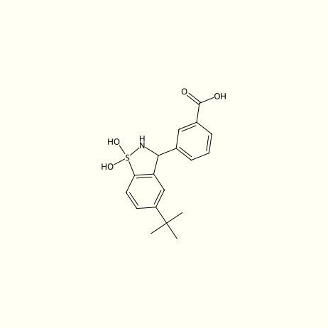 CC(C)(C)c1ccc2c(c1)C(c1cccc(C(=O)O)c1)NS2(O)O